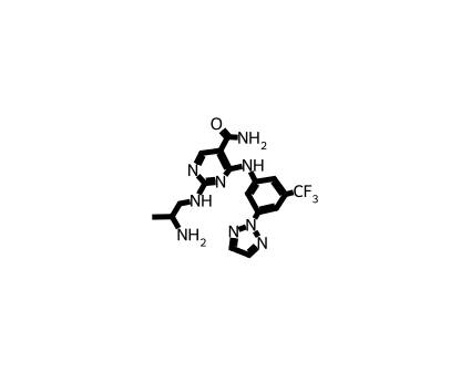 CC(N)CNc1ncc(C(N)=O)c(Nc2cc(-n3nccn3)cc(C(F)(F)F)c2)n1